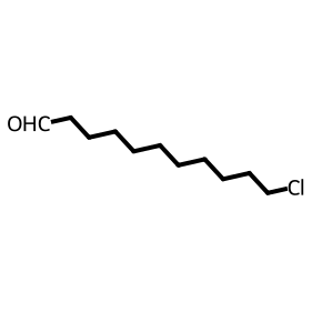 O=CCCCCCCCCCCCl